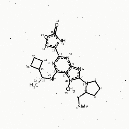 CSCC1CCCN1c1nc2nc(-c3noc(=O)[nH]3)nc(N[C@H](C)C3CCC3)c2n1C